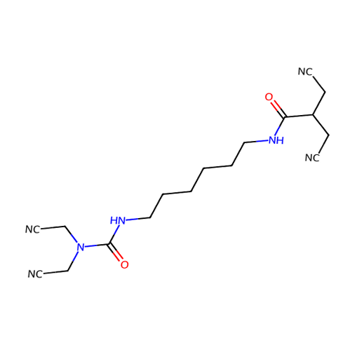 N#CCC(CC#N)C(=O)NCCCCCCNC(=O)N(CC#N)CC#N